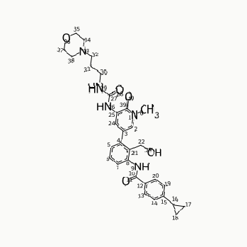 Cn1cc(-c2cccc(NC(=O)c3ccc(C4CC4)cc3)c2CO)cc(NC(=O)NCCCN2CCOCC2)c1=O